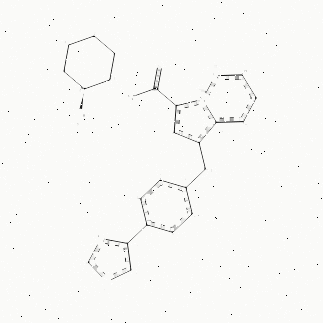 O=C(N[C@H]1CCCC[C@@H]1O)c1cc(Cc2ccc(-c3cscn3)cc2)c2cccnn12